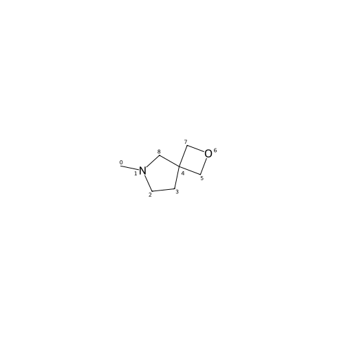 CN1CCC2(COC2)C1